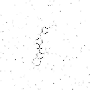 CN1CCc2cc(N(C)C)c(S(=O)(=O)c3ccc(Cc4ccc(S(=O)(=O)N(C)C)cc4)cc3)cc2CC1